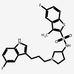 Cc1c(S(=O)(=O)NC2CCN(CCCc3c[nH]c4ccc(F)cc34)C2)sc2ccc(F)cc12